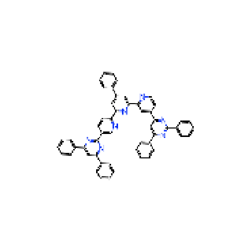 c1ccc(-c2cc(-c3ccc(-c4nc(-c5ccccc5)cc(-c5ccccc5)n4)cn3)nc(-c3cc(-c4cc(-c5ccccc5)nc(-c5ccccc5)n4)ccn3)c2)cc1